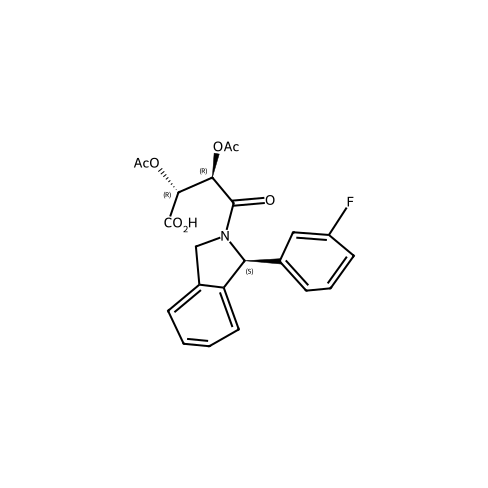 CC(=O)O[C@@H](C(=O)O)[C@@H](OC(C)=O)C(=O)N1Cc2ccccc2[C@@H]1c1cccc(F)c1